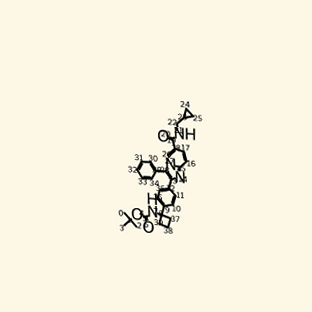 CC(C)(C)OC(=O)NC1(c2ccc(-c3nc4ccc(C(=O)NCC5CC5)cn4c3-c3ccccc3)cc2)CCC1